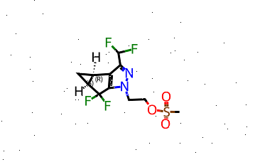 CS(=O)(=O)OCCn1nc(C(F)F)c2c1C(F)(F)[C@H]1C[C@@H]21